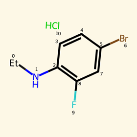 CCNc1ccc(Br)cc1F.Cl